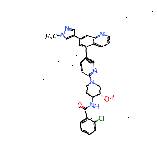 Cn1cc(-c2cc(-c3ccc(N4CC[C@H](NC(=O)c5ccccc5Cl)[C@@H](O)C4)nc3)c3cccnc3c2)cn1